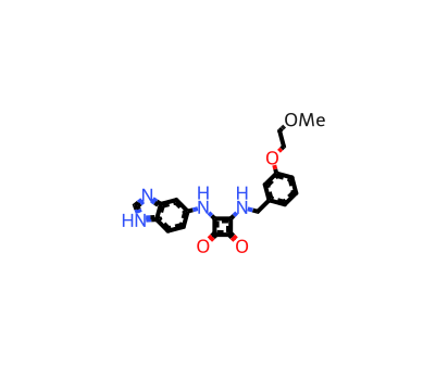 COCCOc1cccc(CNc2c(Nc3ccc4[nH]cnc4c3)c(=O)c2=O)c1